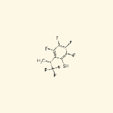 C=C(c1c(F)c(F)c(F)c(F)c1S)C(F)(F)F